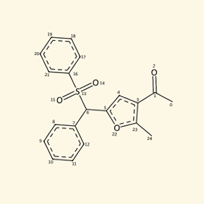 CC(=O)c1cc(C(c2ccccc2)S(=O)(=O)c2ccccc2)oc1C